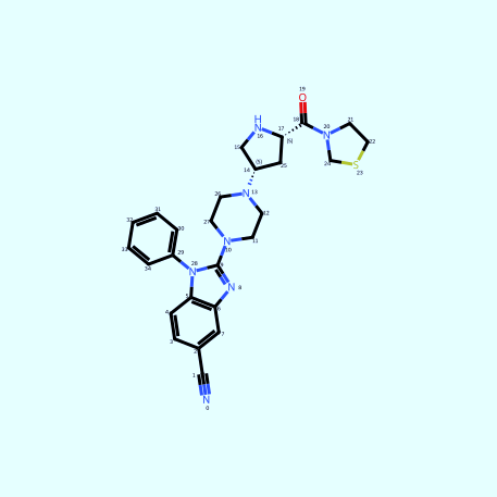 N#Cc1ccc2c(c1)nc(N1CCN([C@@H]3CN[C@H](C(=O)N4CCSC4)C3)CC1)n2-c1ccccc1